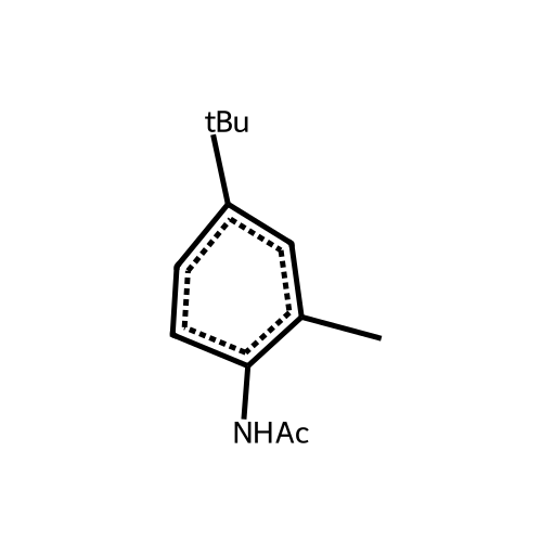 CC(=O)Nc1ccc(C(C)(C)C)cc1C